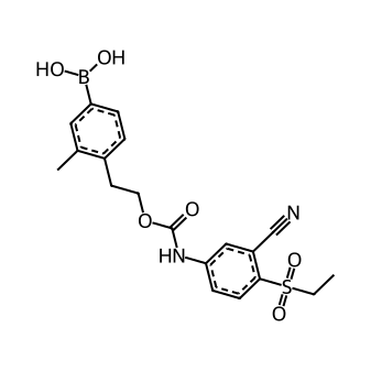 CCS(=O)(=O)c1ccc(NC(=O)OCCc2ccc(B(O)O)cc2C)cc1C#N